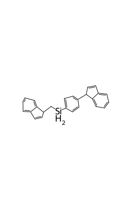 C1=CC(C[SiH2]c2ccc(C3C=Cc4ccccc43)cc2)c2ccccc21